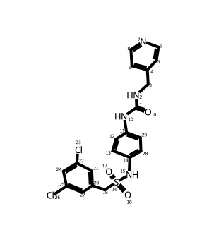 O=C(NCc1ccncc1)Nc1ccc(NS(=O)(=O)Cc2cc(Cl)cc(Cl)c2)cc1